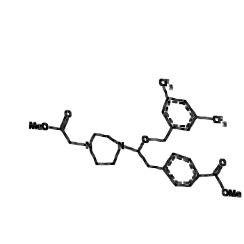 COC(=O)CN1CCN(C(Cc2ccc(C(=O)OC)cc2)OCc2cc(C(F)(F)F)cc(C(F)(F)F)c2)CC1